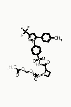 CC(=O)OCOn1on1N1CCC1C(=O)NS(=O)(=O)c1ccc(-n2nc(C(F)(F)F)cc2-c2ccc(C)cc2)cc1